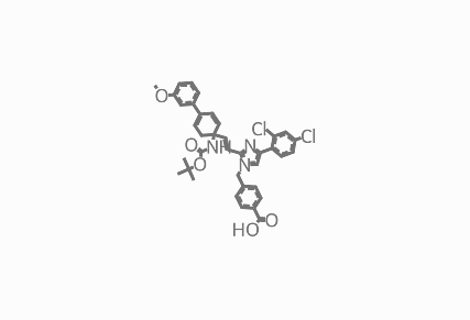 COc1cccc(C2=CCC(C=Cc3nc(-c4ccc(Cl)cc4Cl)cn3Cc3ccc(C(=O)O)cc3)(NC(=O)OC(C)(C)C)C=C2)c1